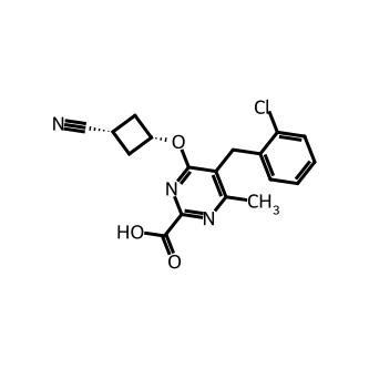 Cc1nc(C(=O)O)nc(O[C@H]2C[C@@H](C#N)C2)c1Cc1ccccc1Cl